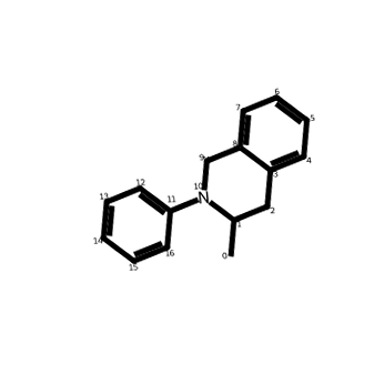 CC1Cc2ccccc2[C]N1c1ccccc1